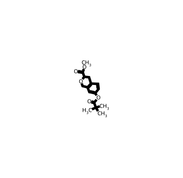 COC(=O)C1Cc2ccc(OC(=O)C(C)(C)C)cc2CO1